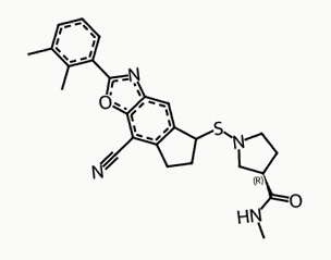 CNC(=O)[C@@H]1CCN(SC2CCc3c2cc2nc(-c4cccc(C)c4C)oc2c3C#N)C1